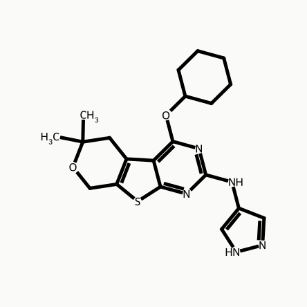 CC1(C)Cc2c(sc3nc(Nc4cn[nH]c4)nc(OC4CCCCC4)c23)CO1